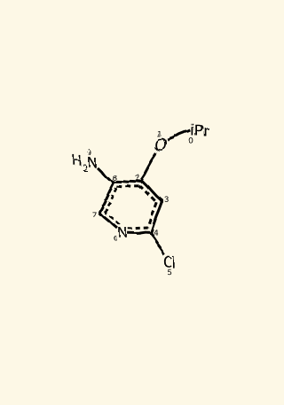 CC(C)Oc1cc(Cl)ncc1N